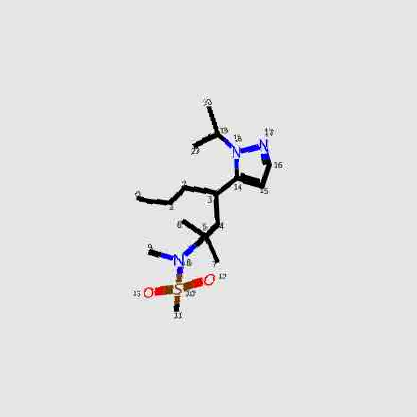 CCCC(CC(C)(C)N(C)S(C)(=O)=O)c1ccnn1C(C)C